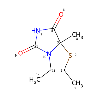 CCSC1(C)C(=O)NC(=O)N1CC